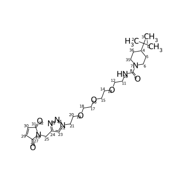 CC(C)(C)C1CCN(C(=O)NCCOCCOCCOCCn2cc(CN3C(=O)C=CC3=O)nn2)CC1